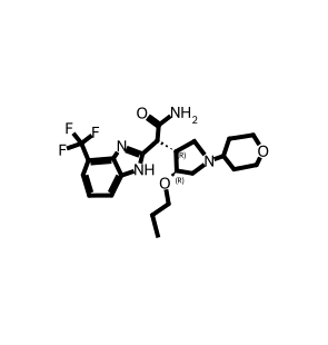 CCCO[C@H]1CN(C2CCOCC2)C[C@H]1C(C(N)=O)c1nc2c(C(F)(F)F)cccc2[nH]1